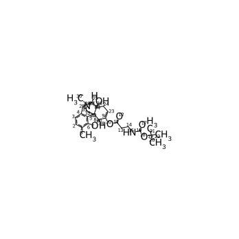 Cc1ccc2c3c1O[C@H]1C(OC(=O)CCNC(=O)OC(C)(C)C)=CC[C@@]4(O)[C@@H](C2)N(C)CC[C@]314